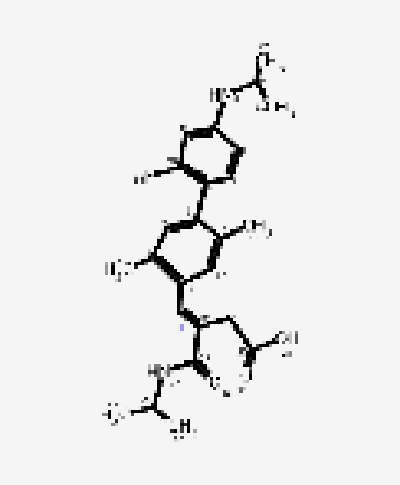 Cc1cc(-c2ccc(NC(C)C)cc2F)c(C)cc1/C=C(\CC(=O)O)C(=O)NC(C)C